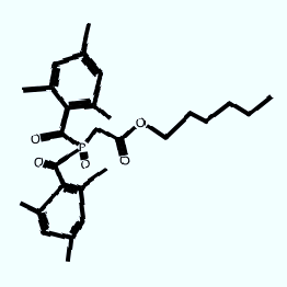 CCCCCCOC(=O)CP(=O)(C(=O)c1c(C)cc(C)cc1C)C(=O)c1c(C)cc(C)cc1C